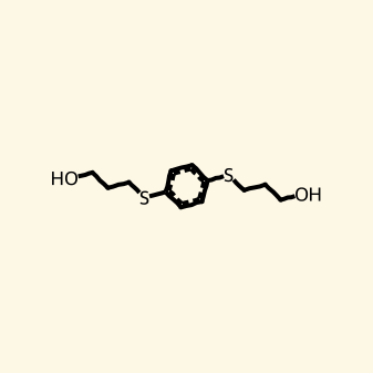 OCCCSc1ccc(SCCCO)cc1